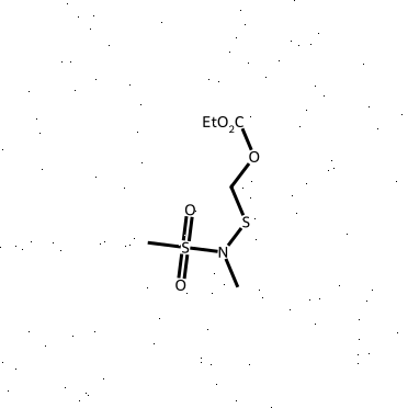 CCOC(=O)OCSN(C)S(C)(=O)=O